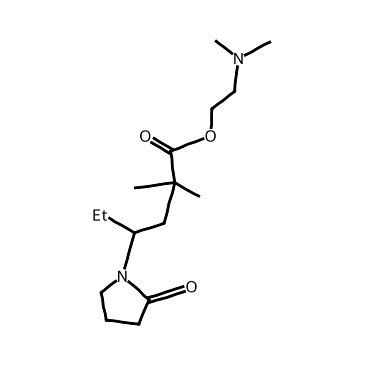 CCC(CC(C)(C)C(=O)OCCN(C)C)N1CCCC1=O